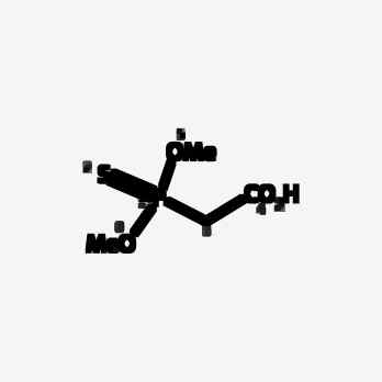 COP(=S)(CC(=O)O)OC